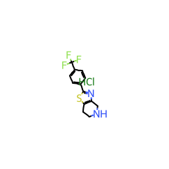 Cl.FC(F)(F)c1ccc(-c2nc3c(s2)CCNC3)cc1